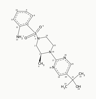 C[C@H]1CN(S(=O)(=O)c2ccccc2N)CCN1c1ncc(C(C)(C)O)cn1